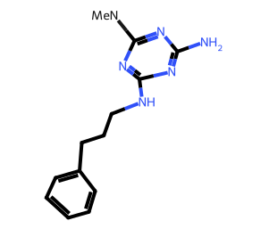 CNc1nc(N)nc(NCCCc2ccccc2)n1